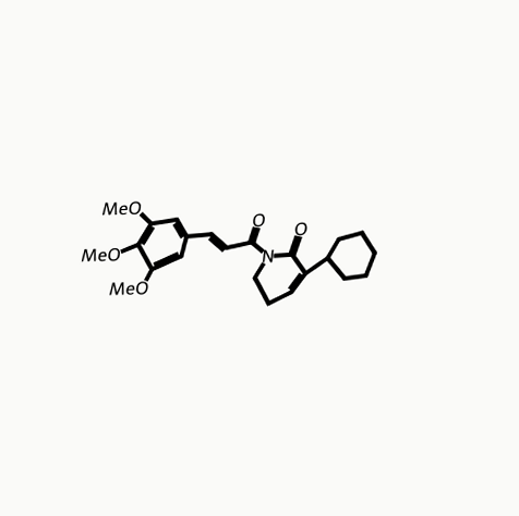 COc1cc(C=CC(=O)N2CCC=C(C3CCCCC3)C2=O)cc(OC)c1OC